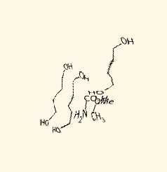 COC.NC(=O)O.OCCCCO.OCCCCO.OCCCCO